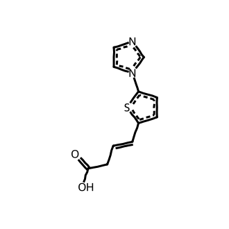 O=C(O)CC=Cc1ccc(-n2ccnc2)s1